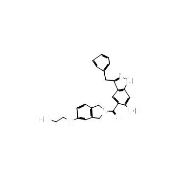 O=C(c1cc2c(Cc3ccccc3)n[nH]c2cc1O)N1Cc2ccc(OCCO)cc2C1